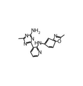 Cc1nc(N)nc(-c2cccnc2Nc2ccc3oc(C)nc3c2)n1